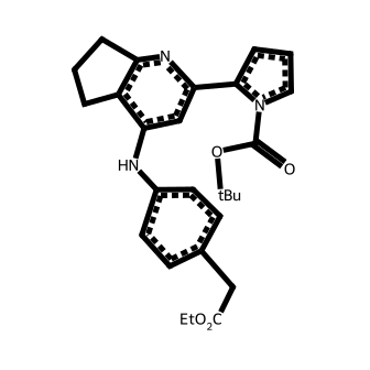 CCOC(=O)Cc1ccc(Nc2cc(-c3cccn3C(=O)OC(C)(C)C)nc3c2CCC3)cc1